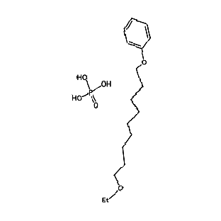 CCOCCCCCCCCCOc1ccccc1.O=P(O)(O)O